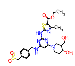 CCOC(=O)c1sc(Nc2nc(NCc3ccc(C[SH](=O)=O)cc3)cc(N3CCC(O)C(CO)C3)n2)nc1C